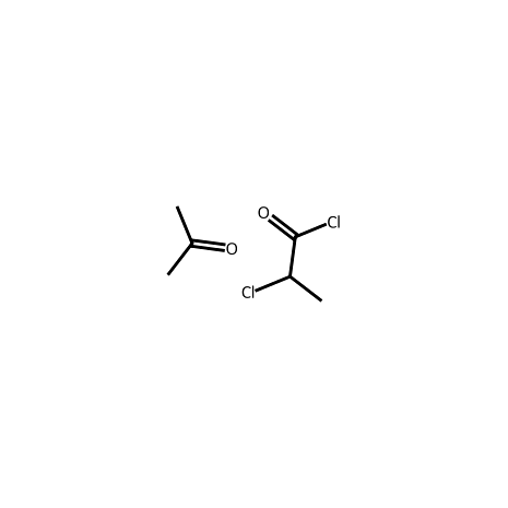 CC(C)=O.CC(Cl)C(=O)Cl